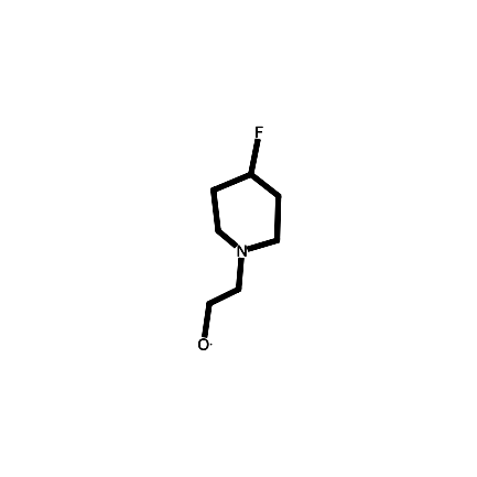 [O]CCN1CCC(F)CC1